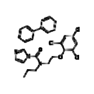 CCCN(CCOc1c(Cl)cc(Cl)cc1Cl)C(=O)n1ccnc1.c1ccc(-c2ccccc2)cc1